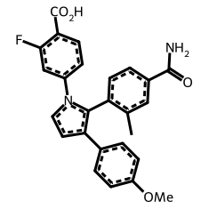 COc1ccc(-c2ccn(-c3ccc(C(=O)O)c(F)c3)c2-c2ccc(C(N)=O)cc2C)cc1